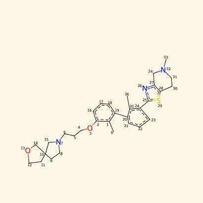 Cc1c(OCCCN2CCC3(CCOC3)C2)cccc1-c1cccc(-c2nc3c(s2)CCN(C)C3)c1C